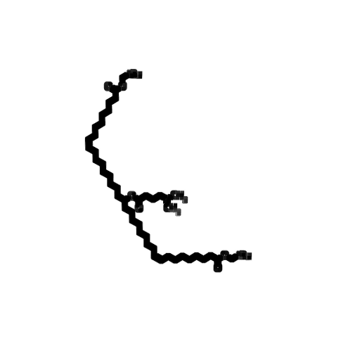 CN(C)CCCC(=O)OC(CCCCCCCC/C=C\CCCCCCCC(=O)OCC(C)(C)C)CCCCCCCC/C=C\CCCCCCCC(=O)OCC(C)(C)C